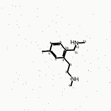 CNCCc1cc(C)ccc1CNC